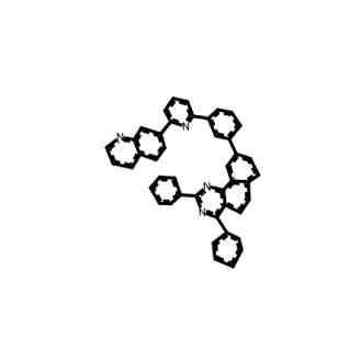 c1ccc(-c2nc(-c3ccccc3)c3ccc4ccc(-c5cccc(-c6cccc(-c7ccc8cccnc8c7)n6)c5)cc4c3n2)cc1